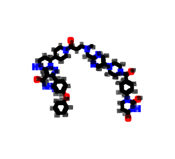 CN(CCC(=O)N1CCC([C@@H]2CCNc3c(C(N)=O)c(-c4ccc(Oc5ccccc5)cc4)nn32)CC1)Cc1ncc(N2CCN(C(=O)c3ccc(N4CCC(=O)NC4=O)cc3)CC2)cn1